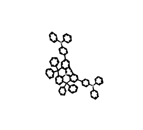 c1ccc(N(c2ccccc2)c2ccc(-c3cc4c5c(c3)c3cc(-c6ccc(N(c7ccccc7)c7ccccc7)cc6)cc6c3n5-c3c(cccc3C6(c3ccccc3)c3ccccc3)C4(c3ccccc3)c3ccccc3)cc2)cc1